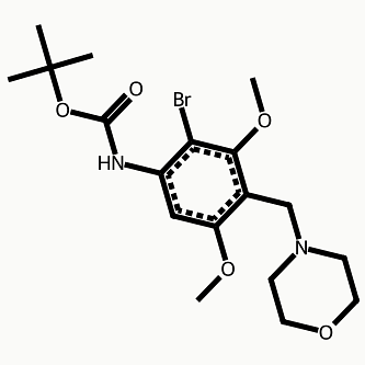 COc1cc(NC(=O)OC(C)(C)C)c(Br)c(OC)c1CN1CCOCC1